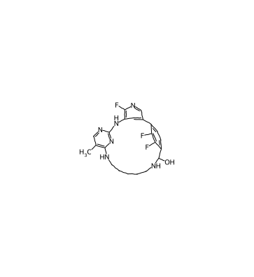 Cc1cnc2nc1NCCCCCNC(O)c1ccc(c(F)c1F)-c1cnc(F)c(c1)N2